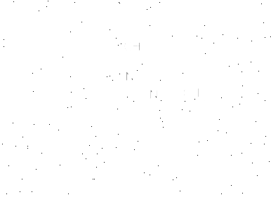 CC(c1ccccc1)N1CCN(C(C)c2ccccc2)C1